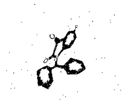 O=C1C(=O)N(C(c2ccccc2)c2ccccc2)c2ccc(F)cc21